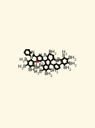 Bc1cc(B)c2c(-c3cccc(-c4c(B)c(B)c(B)c(B)c4B)c3)c3c(B)c(B)c(B)c(B)c3c(-c3ccc(-c4nc5ccccc5n4-c4c(B)c(B)c(B)c(B)c4B)cc3)c2c1B